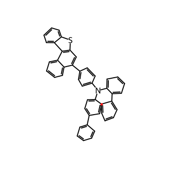 c1ccc(-c2ccc(N(c3ccc(-c4cc5sc6ccccc6c5c5ccccc45)cc3)c3ccccc3-c3ccccc3)cc2)cc1